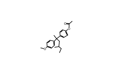 CCC(C)CC(C)(c1ccc(OC)cc1)c1ccc(OC(C)=O)cc1